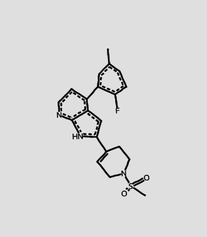 Cc1ccc(F)c(-c2ccnc3[nH]c(C4=CCN(S(C)(=O)=O)CC4)cc23)c1